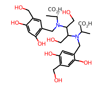 CC(C(=O)O)N(Cc1cc(O)c(CO)cc1O)C(CO)C(CO)N(Cc1cc(CO)c(O)cc1O)[C@H](C)C(=O)O